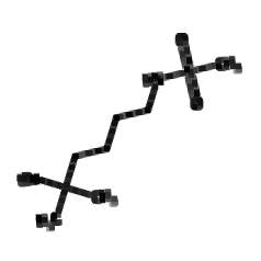 CC(C)(C)C(C)(C)CCCCNS(C)(=O)=O